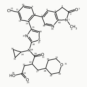 CN1C(=O)Cc2cc(-c3ccc(Cl)cc3-c3csc(N(C(=O)C(CC(=O)O)CC4CCOCC4)C4CC4)n3)cnc21